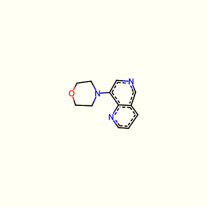 c1cnc2c(N3CCOCC3)cncc2c1